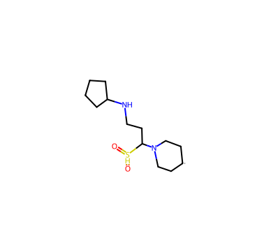 O=[SH](=O)C(CCNC1CCCC1)N1CC[CH]CC1